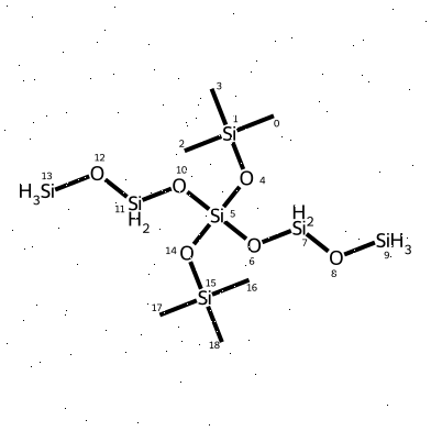 C[Si](C)(C)O[Si](O[SiH2]O[SiH3])(O[SiH2]O[SiH3])O[Si](C)(C)C